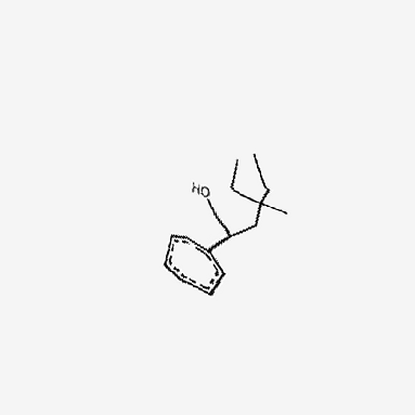 CCC(C)(CC)CC(O)c1ccccc1